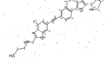 CCCNCc1nc2c(F)cc(C#Cc3ccc4c(c3)CCc3nc([C@@H]5CCCN5)[nH]c3-4)cc2[nH]1